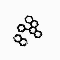 c1cc2cnccc2cn1.c1ccc(-c2cc3ccccc3c3ccc4c(c23)CCCC4)cc1